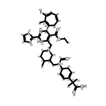 CCOC(=O)C1=C(CN2CCC(C)C(CN(C=O)C3C=CC(C(C)(C)C(=O)O)=CC3)C2)NC(c2nccs2)=N[C@H]1C1=C(C)C(F)=CC=CC1